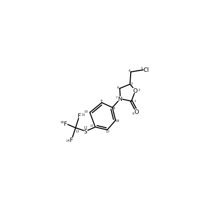 O=C1OC(CCl)CN1c1ccc(SC(F)(F)F)cc1